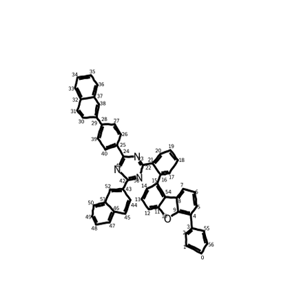 c1ccc(-c2cccc3c2oc2cccc(-c4ccccc4-c4nc(-c5ccc(-c6ccc7ccccc7c6)cc5)nc(-c5ccc6ccccc6c5)n4)c23)cc1